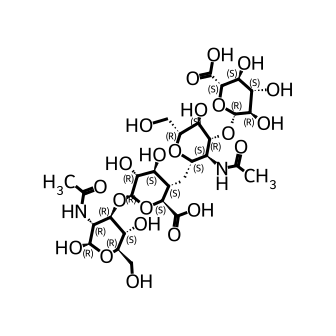 CC(=O)N[C@@H]1[C@@H](O[C@@H]2O[C@H](C(=O)O)[C@@H](C[C@@H]3O[C@H](CO)[C@@H](O)[C@H](O[C@@H]4O[C@H](C(=O)O)[C@@H](O)[C@H](O)[C@H]4O)[C@H]3NC(C)=O)[C@H](O)[C@H]2O)[C@H](O)[C@@H](CO)O[C@H]1O